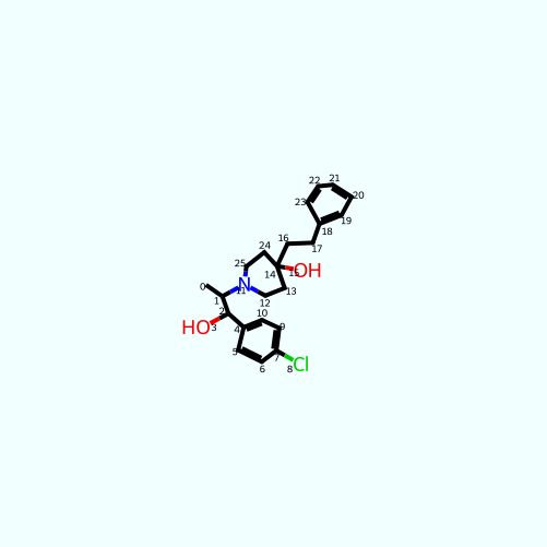 CC(C(O)c1ccc(Cl)cc1)N1CCC(O)(CCc2ccccc2)CC1